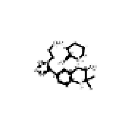 CC(=O)OCCn1nnnc1-c1ccc2c(c1)[C@H](N1CCCCC1=O)[C@@H](O)C(C)(C)O2